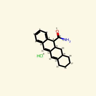 Cl.NC(=O)C1c2ccccc2C=C2C=C3CCCCC3CC21